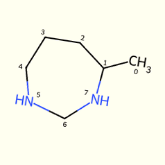 CC1CCCNCN1